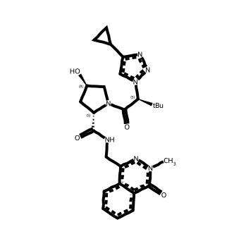 Cn1nc(CNC(=O)[C@@H]2C[C@@H](O)CN2C(=O)[C@@H](n2cc(C3CC3)nn2)C(C)(C)C)c2ccccc2c1=O